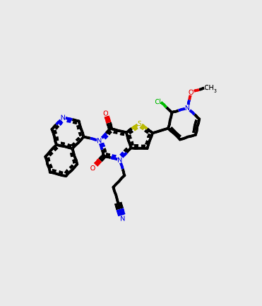 CON1C=CC=C(c2cc3c(s2)c(=O)n(-c2cncc4ccccc24)c(=O)n3CCC#N)C1Cl